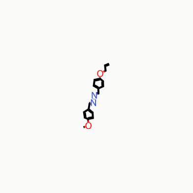 C=CCOc1ccc(C=NN=Cc2ccc(OC)cc2)cc1